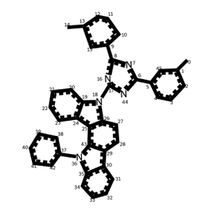 Cc1cccc(-c2nc(-c3cccc(C)c3)nc(-n3c4ccccc4c4c3ccc3c5ccccc5n(-c5ccccc5)c34)n2)c1